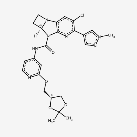 Cn1cc(-c2nc3c(cc2Cl)N2CC[C@@H]2N3C(=O)Nc2ccnc(OC[C@H]3COC(C)(C)O3)c2)cn1